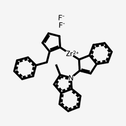 Cc1cc2ccccc2n1C1=Cc2ccccc2[CH]1[Zr+2][C]1=C(Cc2ccccc2)C=CC1.[F-].[F-]